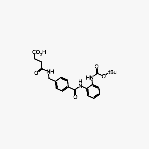 CC(C)(C)OC(=O)Nc1ccccc1NC(=O)c1ccc(CNC(=O)CCC(=O)O)cc1